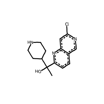 CC(O)(c1ccc2cnc(Cl)cc2n1)C1CCNCC1